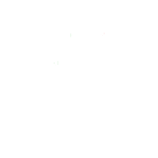 CC1CCC(C2CCC(O)C(F)C2Cl)CC1